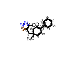 CCOC(=O)c1nnsc1CC1(C#N)C=CC(c2ccccc2)=CC1